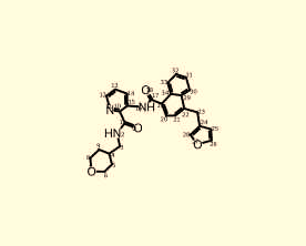 O=C(NCC1CCOCC1)c1ncccc1NC(=O)c1ccc(Cc2ccoc2)c2ccccc12